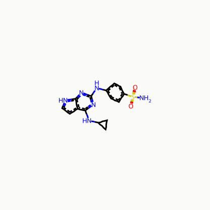 NS(=O)(=O)c1ccc(Nc2nc(NC3CC3)c3cc[nH]c3n2)cc1